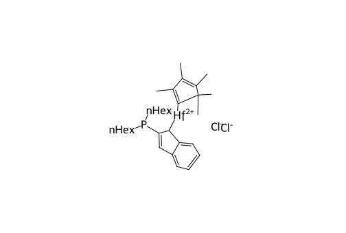 CCCCCCP(CCCCCC)C1=Cc2ccccc2[CH]1[Hf+2][C]1=C(C)C(C)=C(C)C1(C)C.[Cl-].[Cl-]